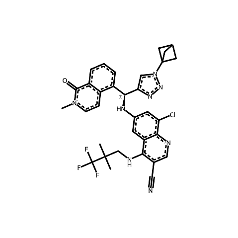 Cn1ccc2c([C@H](Nc3cc(Cl)c4ncc(C#N)c(NCC(C)(C)C(F)(F)F)c4c3)c3cn(C45CC(C4)C5)nn3)cccc2c1=O